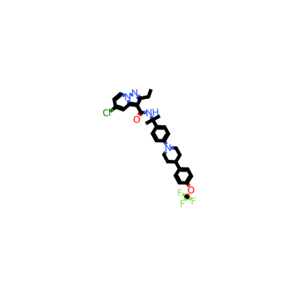 CCc1nn2ccc(Cl)cc2c1C(=O)NC(C)(C)c1ccc(N2CCC(c3ccc(OC(F)(F)F)cc3)CC2)cc1